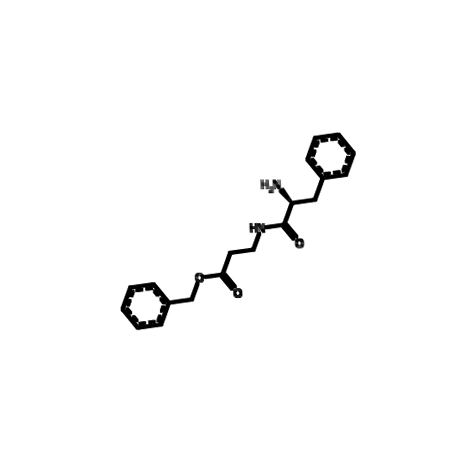 N[C@@H](Cc1ccccc1)C(=O)NCCC(=O)OCc1ccccc1